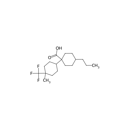 CCCC1CCC(C(=O)O)(C2CCC(C)(C(F)(F)F)CC2)CC1